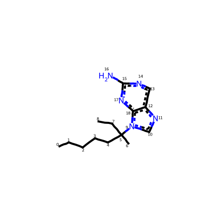 CCCCCC(C)(CC)n1cnc2cnc(N)nc21